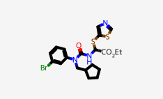 CCOC(=O)C(NC(=O)N(CC1CCCC1)c1cccc(Br)c1)Sc1cncs1